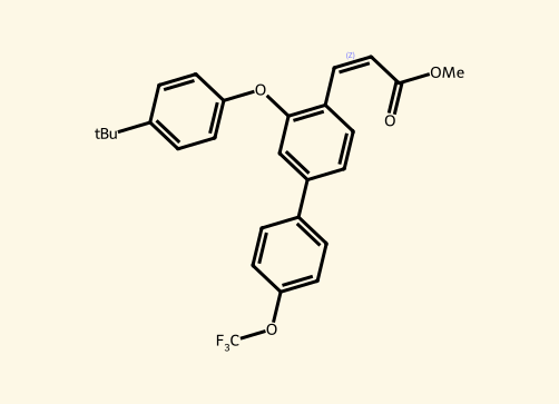 COC(=O)/C=C\c1ccc(-c2ccc(OC(F)(F)F)cc2)cc1Oc1ccc(C(C)(C)C)cc1